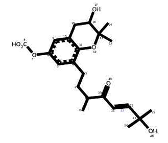 CC(CCc1cc(OC(=O)O)cc2c1OC(C)(C)C(O)C2)C(=O)/C=C/C(C)(C)O